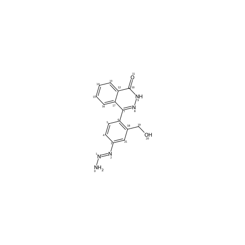 NN=Nc1ccc(-c2n[nH]c(=O)c3ccccc23)c(CO)c1